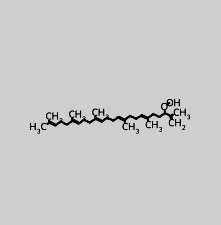 C=C(C)C(CC/C(C)=C/CC/C(C)=C/CC/C=C(\C)CC/C=C(\C)CCC=C(C)C)OO